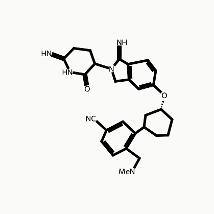 CNCc1ccc(C#N)cc1C1CCC[C@@H](Oc2ccc3c(c2)CN(C2CCC(=N)NC2=O)C3=N)C1